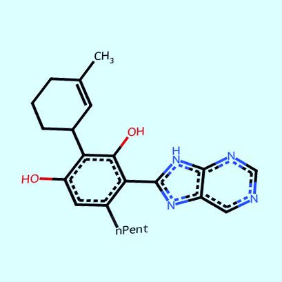 CCCCCc1cc(O)c(C2C=C(C)CCC2)c(O)c1-c1nc2cncnc2[nH]1